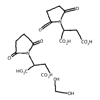 O=C(O)CC(C(=O)O)N1C(=O)CCC1=O.O=C(O)CC(C(=O)O)N1C(=O)CCC1=O.OCO